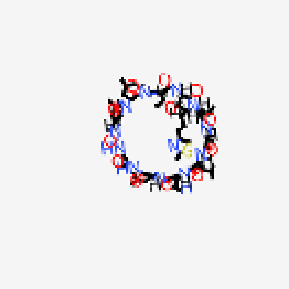 CC[C@@H]1C(=O)N(C)[C@H](C)C(=O)N(C)[C@@H](CC(C)C)C(=O)N[C@H](C(C)C)C(=O)N(C)[C@H](CC(C)C)C(=O)NC(C)C(=O)NC(=O)N(C)[C@H](CC(C)C)C(=O)N(C)C(CC(C)C)C(=O)N(C)[C@@H]2C(=O)N(C)[C@@H]3C(=O)N1[C@H](CCCc1csc(C)n1)[C@H]3OC2C